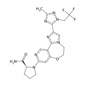 Cc1nc(-c2cn3c(n2)-c2cnc(N4CCC[C@H]4C(N)=O)cc2OCC3)n(CC(F)(F)F)n1